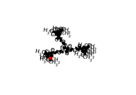 CC(C)(C)c1cc(C(=O)CCOCCn2c(=O)n(CCOCCC(=O)c3cc(C(C)(C)C)c(O)c(C(C)(C)C)c3)c(=O)n(CCOCCC(=O)c3cc(C(C)(C)C)c(O)c(C(C)(C)C)c3)c2=O)cc(C(C)(C)C)c1O